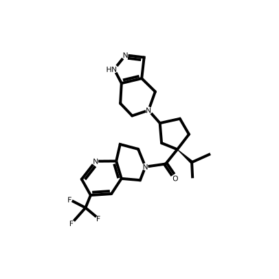 CC(C)[C@]1(C(=O)N2CCc3ncc(C(F)(F)F)cc3C2)CCC(N2CCc3[nH]ncc3C2)C1